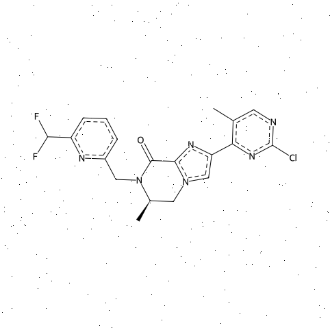 Cc1cnc(Cl)nc1-c1cn2c(n1)C(=O)N(Cc1cccc(C(F)F)n1)[C@H](C)C2